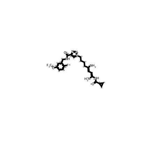 N/C(=C\C=C(/N)NC(=O)C1CC1)CCCCn1cc(C(=O)NCc2cc(OC(F)(F)F)ccc2F)nn1